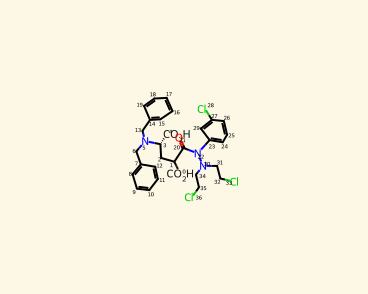 O=C(O)C(C[C@@H](C(=O)O)N(Cc1ccccc1)Cc1ccccc1)C(=O)N(c1cccc(Cl)c1)N(CCCl)CCCl